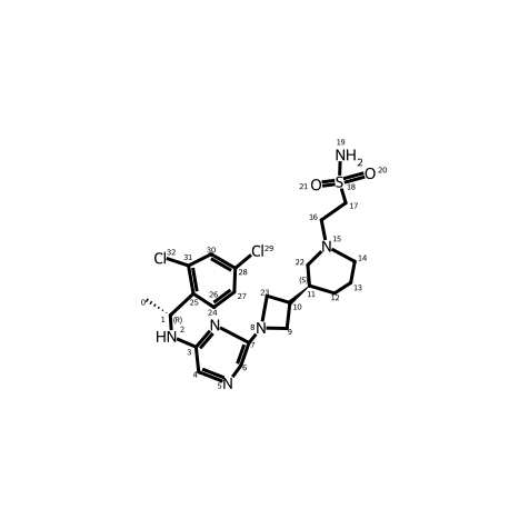 C[C@@H](Nc1cncc(N2CC([C@@H]3CCCN(CCS(N)(=O)=O)C3)C2)n1)c1ccc(Cl)cc1Cl